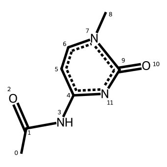 CC(=O)Nc1ccn(C)c(=O)n1